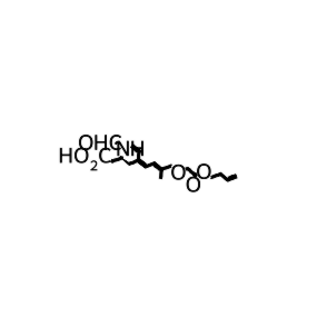 C=CCCOC(=O)COC/C(C)=C/C=C(\C=C)C[C@@H](CC(=O)O)NC=O